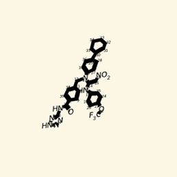 O=C(Nc1nn[nH]n1)c1ccc(CN(/C(=C\[N+](=O)[O-])Nc2ccc(OC(F)(F)F)cc2)c2ccc(C3=CCCCC3)cc2)cc1